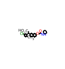 Cc1ccc(Cl)cc1C(CC(=O)O)c1ccc2ccc(OCC(=O)NC3CCCCC3)cc2c1